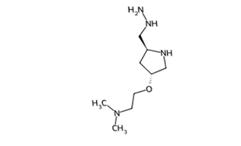 CN(C)CCO[C@H]1CN[C@H](CNN)C1